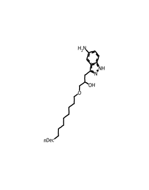 CCCCCCCCCCCCCCCCCCOCC(O)Cc1n[nH]c2ccc(N)cc12